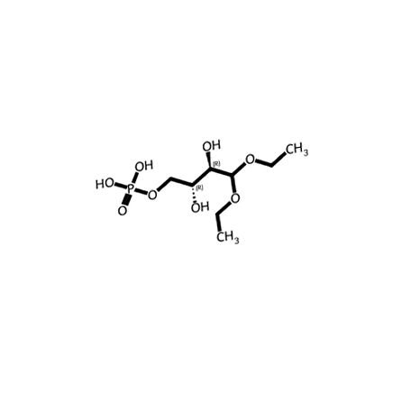 CCOC(OCC)[C@H](O)[C@H](O)COP(=O)(O)O